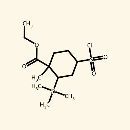 CCOC(=O)C1(C)CCC(S(=O)(=O)Cl)CC1[Si](C)(C)C